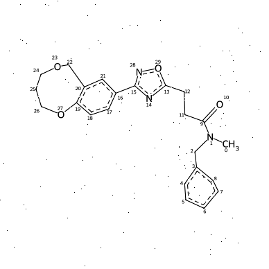 CN(Cc1ccccc1)C(=O)CCc1nc(-c2ccc3c(c2)COCCCO3)no1